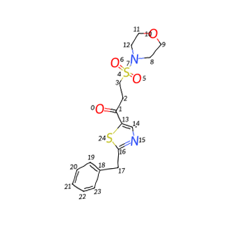 O=C(CCS(=O)(=O)N1CCOCC1)c1[c]nc(Cc2ccccc2)s1